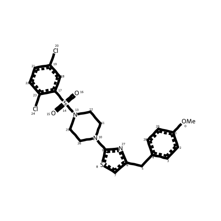 COc1ccc(Cc2csc(N3CCN(S(=O)(=O)c4cc(Cl)ccc4Cl)CC3)n2)cc1